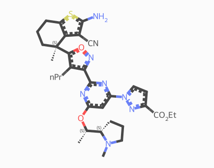 CCCc1c(-c2nc(O[C@@H](C)[C@@H]3CCCN3C)cc(-n3ccc(C(=O)OCC)n3)n2)noc1[C@@]1(C)CCCc2sc(N)c(C#N)c21